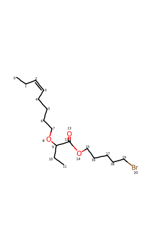 CC/C=C\CCCCOC(CC)C(=O)OCCCCCBr